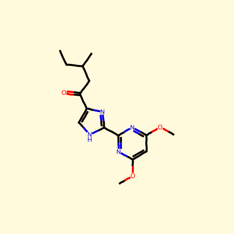 CCC(C)CC(=O)c1c[nH]c(-c2nc(OC)cc(OC)n2)n1